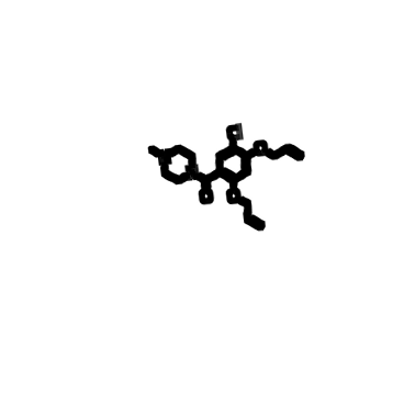 C=CCOc1cc(OCC=C)c(C(=O)N2CCN(C)CC2)cc1Cl